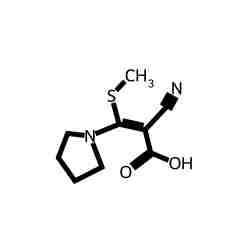 CSC(=C(C#N)C(=O)O)N1CCCC1